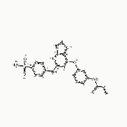 C=CC(=O)Nc1cccc(Oc2nc(Nc3ccc(S(N)(=O)=O)cc3)nc3ccoc23)c1